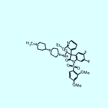 CCOc1ncccc1C1(C(=O)NN2CCN(C3CCN(C)CC3)CC2)C(=O)N(S(=O)(=O)c2ccc(OC)cc2OC)c2cc(F)c(F)cc21